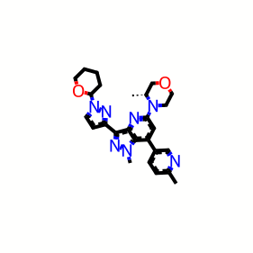 Cc1ccc(-c2cc(N3CCOC[C@H]3C)nc3c(-c4ccn(C5CCCCO5)n4)nn(C)c23)cn1